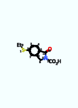 CCSc1ccc2c(c1)CN(C(=O)O)C2=O